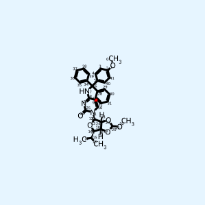 COc1ccc(C(Nc2ccn([C@@H]3O[C@H](C(C)C)[C@H]4OC(OC)O[C@H]43)c(=O)n2)(c2ccccc2)c2ccccc2)cc1